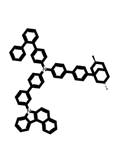 C[C@H]1CC2C[C@H](C)CC(c3ccc(-c4ccc(N(c5ccc(-c6cccc(-n7c8ccccc8c8c9ccccc9ccc87)c6)cc5)c5ccc(-c6ccccc6-c6ccccc6)cc5)cc4)cc3)(C2)C1